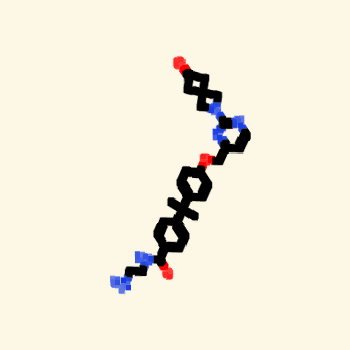 CC(C)(c1ccc(OCc2ccnc(N3CC4(CC(=O)C4)C3)n2)cc1)c1ccc(C(=O)NCCN)cc1